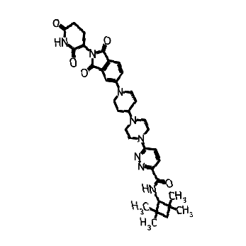 CC1(C)CC(C)(C)C1NC(=O)c1ccc(N2CCN(C3CCN(c4ccc5c(c4)C(=O)N(C4CCC(=O)NC4=O)C5=O)CC3)CC2)nn1